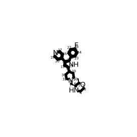 C[C@H]1OCCN[C@H]1CN1CCC(c2cc(-c3ccncc3)c(-c3ccc(F)cc3)[nH]2)CC1